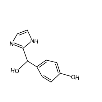 Oc1ccc(C(O)c2ncc[nH]2)cc1